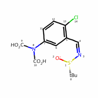 CC(C)(C)[S@+]([O-])/N=C\c1cc(N(C(=O)O)C(=O)O)ccc1Cl